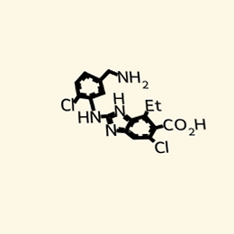 CCc1c(C(=O)O)c(Cl)cc2nc(Nc3cc(CN)ccc3Cl)[nH]c12